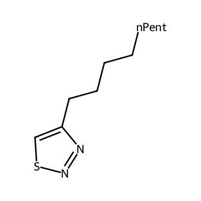 CCCCCCCCCc1csnn1